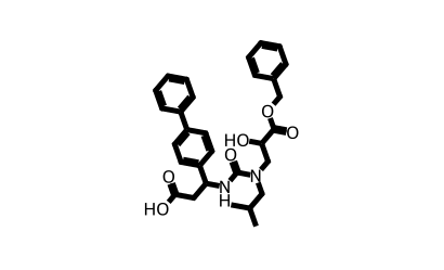 CC(C)CN(CC(O)C(=O)OCc1ccccc1)C(=O)NC(CC(=O)O)c1ccc(-c2ccccc2)cc1